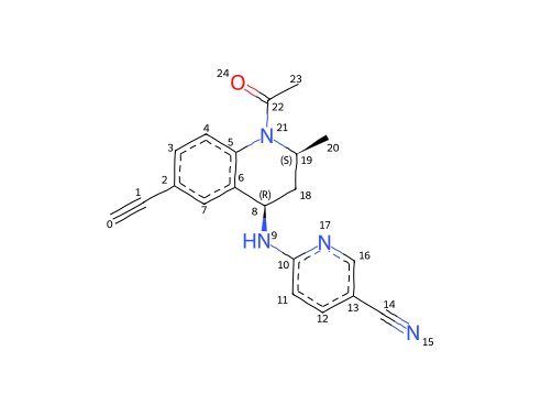 C#Cc1ccc2c(c1)[C@H](Nc1ccc(C#N)cn1)C[C@H](C)N2C(C)=O